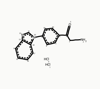 Cl.Cl.NCC(=O)c1ccc(-n2cnc3ccccc32)cc1